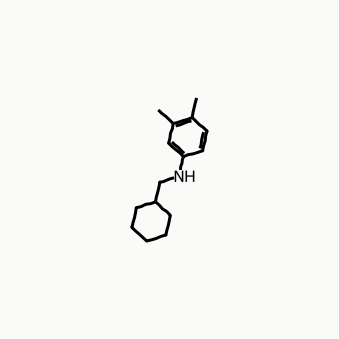 Cc1ccc(NCC2CCCCC2)cc1C